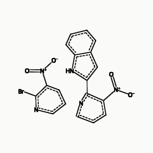 O=[N+]([O-])c1cccnc1-c1cc2ccccc2[nH]1.O=[N+]([O-])c1cccnc1Br